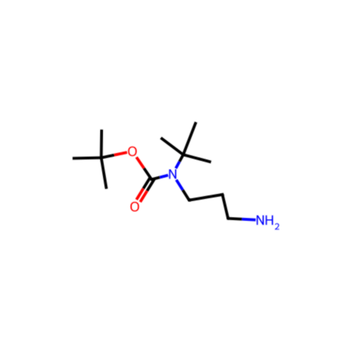 CC(C)(C)OC(=O)N(CCCN)C(C)(C)C